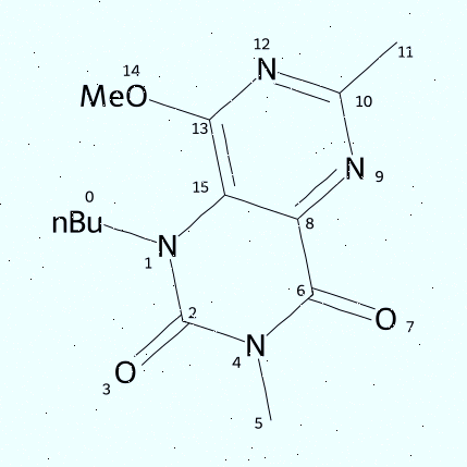 CCCCn1c(=O)n(C)c(=O)c2nc(C)nc(OC)c21